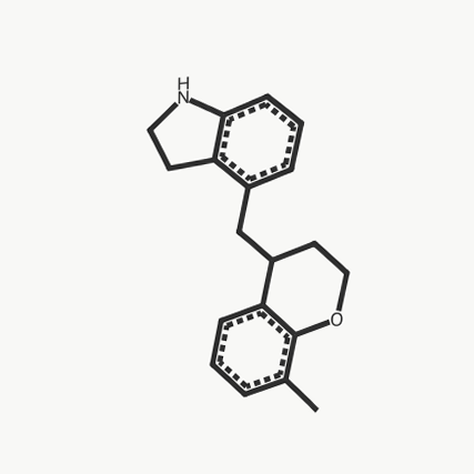 Cc1cccc2c1OCCC2Cc1cccc2c1CCN2